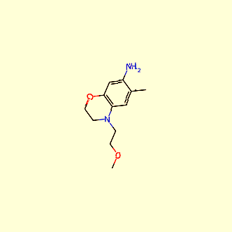 COCCN1CCOc2cc(N)c(C)cc21